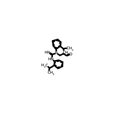 CC(C)c1ccccc1NC(=N)N(CCC=O)c1ccccc1C(C)C